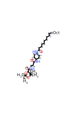 CCCCCCCC/C=C/CCCCCCCC(=O)NN1CCC(NC(=O)CCNC(=O)C2OC(C)(C)OCC2(C)C)CC1